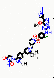 CC(C)Oc1c(-c2cn[nH]c2)ncn2nc(Nc3ccc(S(=O)(=O)N4CCC[C@H](CN5CC[C@@H](c6ccc7c(N8CCC(=O)NC8=O)nn(C)c7c6)CC5(C)C)C4)cc3F)nc12